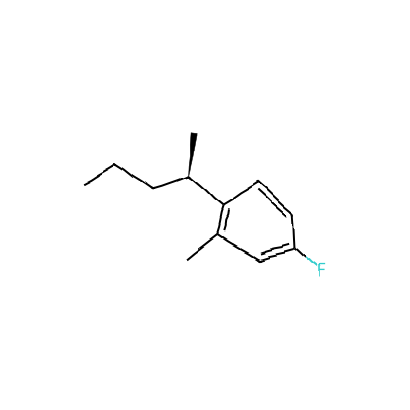 CCC[C@@H](C)c1ccc(F)cc1C